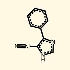 N#[N+]c1[nH]cnc1-c1ccccc1